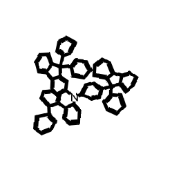 c1ccc(-c2ccccc2-c2ccccc2N(c2ccc(C3(c4ccccc4)c4ccccc4-c4ccccc43)cc2)c2ccc3c(c2)C(c2ccccc2)(c2ccccc2)c2ccccc2-3)cc1